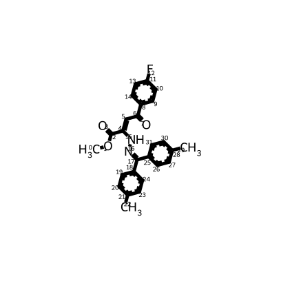 COC(=O)C(=CC(=O)c1ccc(F)cc1)NN=C(c1ccc(C)cc1)c1ccc(C)cc1